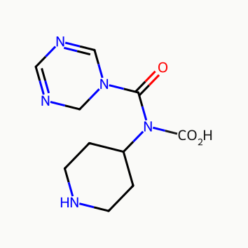 O=C(O)N(C(=O)N1C=NC=NC1)C1CCNCC1